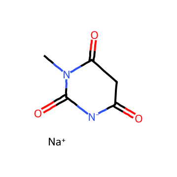 CN1C(=O)CC(=O)[N-]C1=O.[Na+]